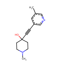 Cc1cncc(C#CC2(O)CCN(C)CC2)c1